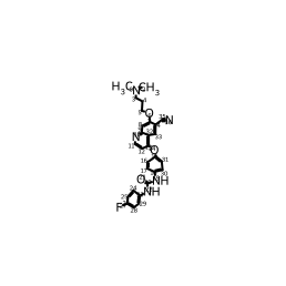 CN(C)CCCOc1cc2nccc(Oc3ccc(NC(=O)Nc4ccc(F)cc4)cc3)c2cc1C#N